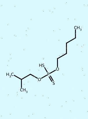 CCCCCOP(=S)(S)OCC(C)C